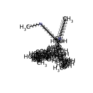 CCCCCCCC/C=C\CCCCCCCCCCCCCC(=O)N[C@@H](CO[C@@H]1OC(CO)[C@@H](O[C@@H]2OC(CO[C@@H]3OC(CO)[C@@H](O[C@@H]4OC(CO)[C@H](O)[C@H](O[C@]5(C(=O)O)CC(O)[C@@H](NC(C)=O)C([C@H](O)[C@H](O)CO)O5)C4O)[C@H](O)C3NC(C)=O)[C@H](O)[C@H](O[C@H]3OC(CO)[C@H](O)[C@H](O[C@@H]4OC(CO)[C@H](O)[C@H](O)C4NC(C)=O)C3O)C2O)[C@H](O)C1O)[C@H](O)/C=C/CCCCCCCCCCCCC